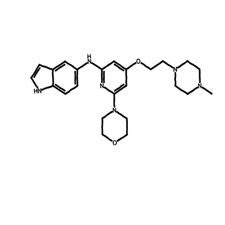 CN1CCN(CCOc2cc(Nc3ccc4[nH]ccc4c3)nc(N3CCOCC3)c2)CC1